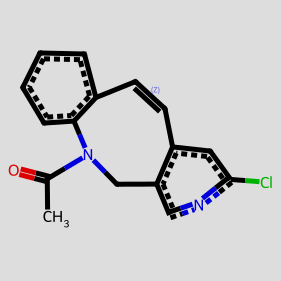 CC(=O)N1Cc2cnc(Cl)cc2/C=C\c2ccccc21